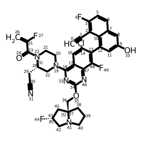 C#Cc1c(F)ccc2cc(O)cc(-c3c(Cl)cc4c(N5CCN(C(=O)C(=C)F)[C@@H](CC#N)C5)nc(OC[C@@]56CCCN5C[C@H](F)C6)nc4c3F)c12